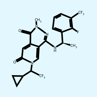 C[C@@H](Nc1nn(C)c(=O)c2cc(=O)n(C(C3CC3)C(F)(F)F)cc12)c1cccc(C(F)(F)F)c1F